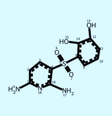 Nc1ccc(S(=O)(=O)c2cccc(O)c2O)c(N)n1